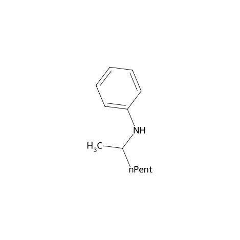 C[CH]CCCC(C)Nc1ccccc1